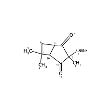 COC1(C)C(=O)C2CC(C)(C)C2C1=O